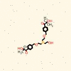 CC(C)(O)C(=O)c1ccc(COCCP(CCO)CCOCc2ccc(C(=O)C(C)(C)O)cc2)cc1